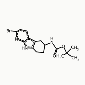 CC(C)(C)OC(=O)NC1CCc2[nH]c3nc(Br)ccc3c2C1